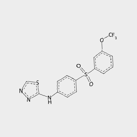 O=S(=O)(c1ccc(Nc2nncs2)cc1)c1cccc(OC(F)(F)F)c1